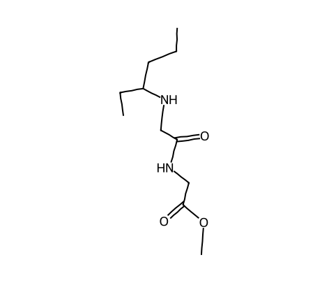 CCCC(CC)NCC(=O)NCC(=O)OC